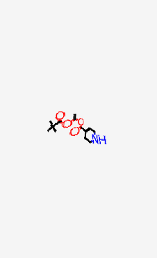 CC(OC(=O)C1=CCNCC1)OC(=O)C(C)(C)C